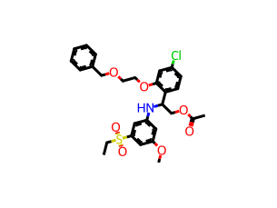 CCS(=O)(=O)c1cc(NC(COC(C)=O)c2ccc(Cl)cc2OCCOCc2ccccc2)cc(OC)c1